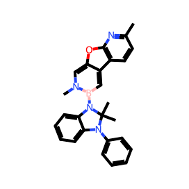 Cc1ccc2c3c(oc2n1)=CN(C)B(N1c2ccccc2N(c2ccccc2)C1(C)C)C=3